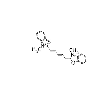 CN1C(=CC=CC=Cc2sc3ccccc3[n+]2C)Oc2ccccc21